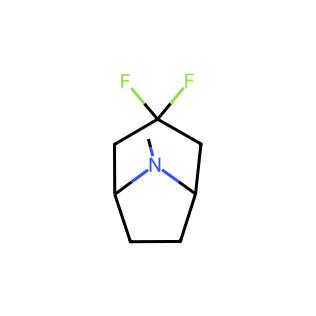 CN1C2CCC1CC(F)(F)C2